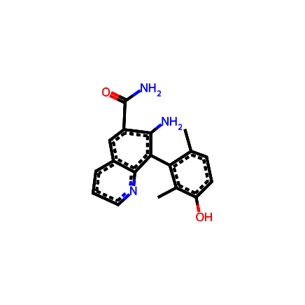 Cc1ccc(O)c(C)c1-c1c(N)c(C(N)=O)cc2cccnc12